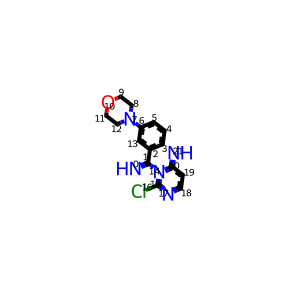 N=C(c1cccc(N2CCOCC2)c1)n1c(Cl)nccc1=N